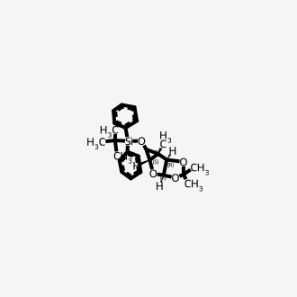 CC1(C)O[C@H]2O[C@@H]3C(O[Si](c4ccccc4)(c4ccccc4)C(C)(C)C)[C@]3(C)[C@H]2O1